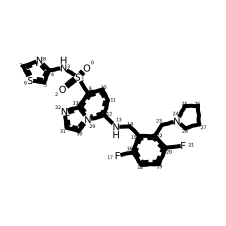 O=S(=O)(Nc1cscn1)c1ccc(NCc2c(F)ccc(F)c2CN2CCCC2)n2ccnc12